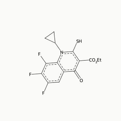 CCOC(=O)c1c(S)n(C2CC2)c2c(F)c(F)c(F)cc2c1=O